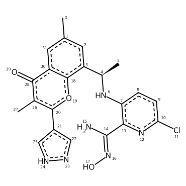 Cc1cc([C@@H](C)Nc2ccc(Cl)nc2/C(N)=N/O)c2oc(-c3cn[nH]c3)c(C)c(=O)c2c1